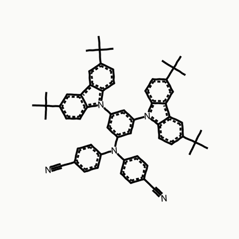 CC(C)(C)c1ccc2c(c1)c1cc(C(C)(C)C)ccc1n2-c1cc(N(c2ccc(C#N)cc2)c2ccc(C#N)cc2)cc(-n2c3ccc(C(C)(C)C)cc3c3cc(C(C)(C)C)ccc32)c1